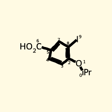 CC(C)Oc1ccc(C(=O)O)cc1I